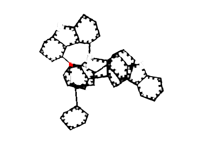 c1ccc(-c2cc(-c3ccccc3)nc(-c3cccc4oc5cccc(-n6c7ccccc7c7cc8c(cc76)sc6ccccc68)c5c34)n2)cc1